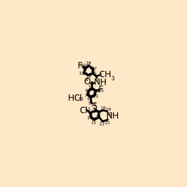 CC(NC(=O)c1ccc(CSc2c(Cl)ccc3c2CCNCC3)cc1F)c1ccc(F)cc1.Cl